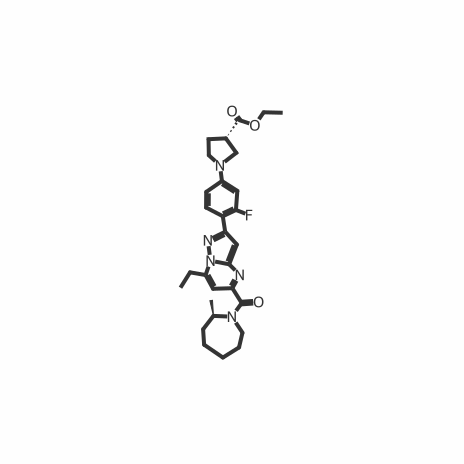 CCOC(=O)[C@H]1CCN(c2ccc(-c3cc4nc(C(=O)N5CCCCC[C@H]5C)cc(CC)n4n3)c(F)c2)C1